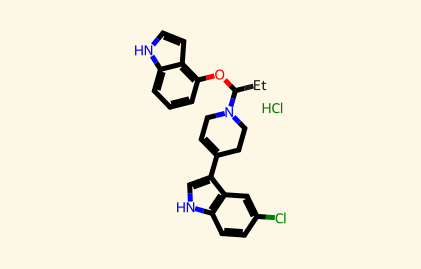 CCC(Oc1cccc2[nH]ccc12)N1CC=C(c2c[nH]c3ccc(Cl)cc23)CC1.Cl